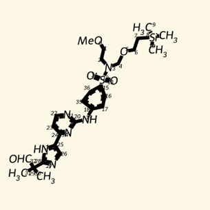 COCCN(COCC[Si](C)(C)C)S(=O)(=O)c1ccc(Nc2nccc(-c3cnc(C(C)(C)C=O)[nH]3)n2)cc1